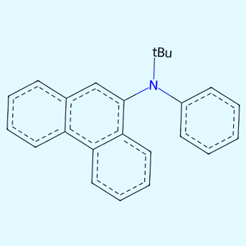 CC(C)(C)N(c1ccccc1)c1cc2ccccc2c2ccccc12